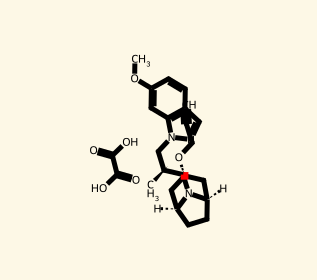 C#CCO[C@@H]1C[C@H]2CC[C@@H](C1)N2C[C@@H](C)Cn1ncc2ccc(OC)cc21.O=C(O)C(=O)O